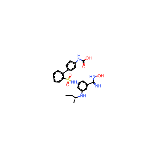 CC[C@H](C)Nc1cccc(C(=N)NO)c1.NS(=O)(=O)c1ccccc1-c1ccc(NC(=O)O)cc1